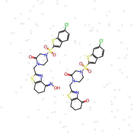 O=C1CCCc2sc(CN3CCN(S(=O)(=O)c4cc5ccc(Cl)cc5s4)CC3=O)nc21.O=C1CN(S(=O)(=O)c2cc3ccc(Cl)cc3s2)CCN1Cc1nc2c(s1)CCCC2=NO